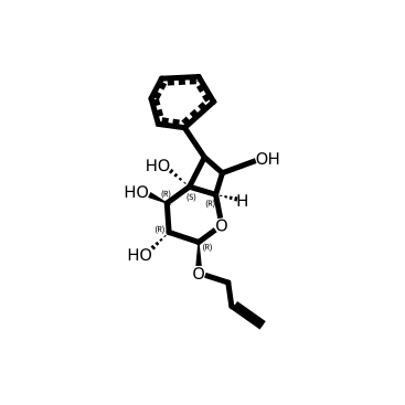 C=CCO[C@@H]1O[C@@H]2C(O)C(c3ccccc3)[C@]2(O)[C@H](O)[C@H]1O